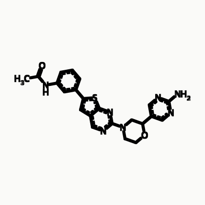 CC(=O)Nc1cccc(-c2cc3cnc(N4CCOC(c5cnc(N)nc5)C4)nc3s2)c1